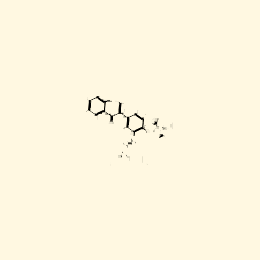 CN(C)N=Nc1cc(-c2coc3ccccc3c2=O)ccc1OS(=O)(=O)O